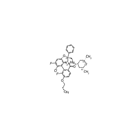 C[C@@H]1C[C@H](NC[C@@]2(c3ccccc3)Cc3c(cc(F)c(Cl)c3-c3c(C(N)=O)ccc(OCCO)c3F)O2)C[C@H](C)O1